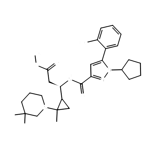 CC(C)(C)OC(=O)C[C@@H](NC(=O)c1cc(-c2ccccc2C(F)(F)F)n(C2CCCC2)n1)C1CC1(C)N1CCCC(F)(F)C1